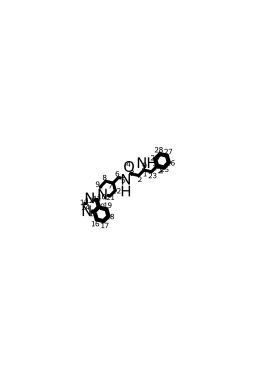 NC(CC(=O)NCC1CCN(c2ncnc3ccccc23)CC1)Cc1ccccc1